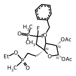 CCOP(C)(=O)CC[C@@]1(CC(F)(F)P(C)(C)=O)O[C@@H](OC(C)=O)[C@@H](OC(C)=O)C1OCc1ccccc1